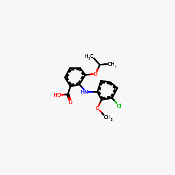 COc1c(Cl)cccc1Nc1c(OC(C)C)cccc1C(=O)O